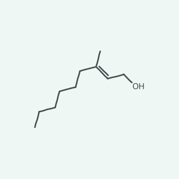 CCCCCCC(C)=CCO